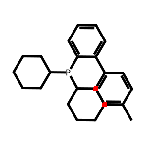 Cc1ccc(-c2ccccc2P(C2CCCCC2)C2CCCCC2)cc1